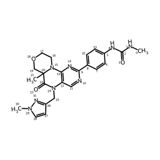 CNC(=O)Nc1ccc(-c2ncc3c(n2)N2CCOCC2(C)C(=O)N3Cc2ccn(C)n2)cc1